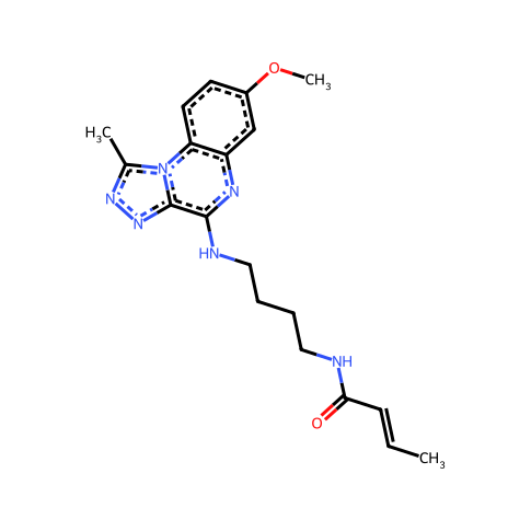 C/C=C/C(=O)NCCCCNc1nc2cc(OC)ccc2n2c(C)nnc12